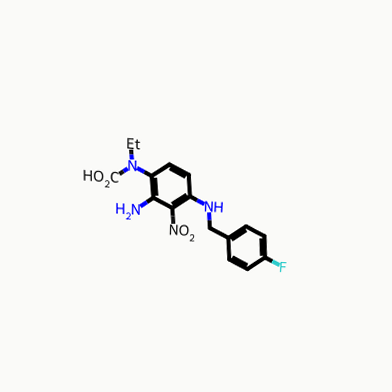 CCN(C(=O)O)c1ccc(NCc2ccc(F)cc2)c([N+](=O)[O-])c1N